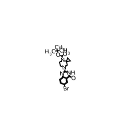 CC(C)(C)OC(=O)N1CCN(c2nc3ccc(Br)cc3c(=O)[nH]2)CC12CC2